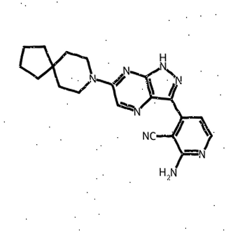 N#Cc1c(-c2n[nH]c3nc(N4CCC5(CCCC5)CC4)cnc23)ccnc1N